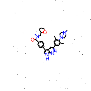 Cc1cc(-c2cc3c(-c4ccc(C(=O)N(C)CC5CCCO5)cc4)c[nH]c3nn2)cc(C)c1N1CCN(C)CC1